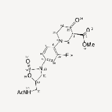 COC(=O)[C@H]1CN(c2ccc(N3CC(CNC(C)=O)OC3=O)cc2F)CCC1=O